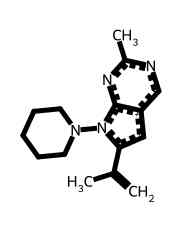 C=C(C)c1cc2cnc(C)nc2n1N1CCCCC1